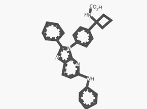 O=C(O)NC1(c2ccc(-n3c(-c4ccccc4)nc4ccc(Nc5ccccc5)nc43)cc2)CCC1